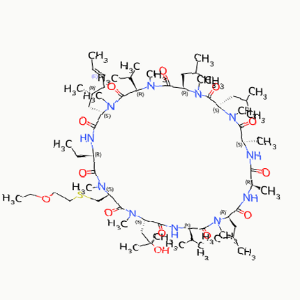 C/C=C/C[C@@H](C)C[C@H]1C(=O)N[C@H](CC)C(=O)N(C)[C@H](CSCCOCC)C(=O)N(C)[C@@H](CC(C)(C)O)C(=O)N[C@H](C(C)C)C(=O)N(C)[C@H](CC(C)C)C(=O)N[C@H](C)C(=O)N[C@@H](C)C(=O)N(C)[C@@H](CC(C)C)C(=O)N(C)[C@H](CC(C)C)C(=O)N(C)[C@H](C(C)C)C(=O)N1C